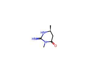 C[C@H]1CC(=O)N(C)C(=N)N1